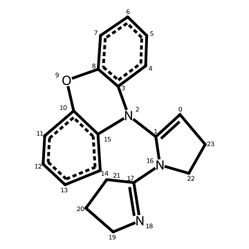 C1=C(N2c3ccccc3Oc3ccccc32)N(C2=NCCC2)CC1